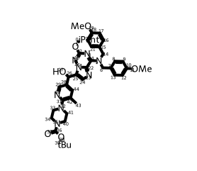 CCCC(C)Oc1nc(N(Cc2ccc(OC)cc2)Cc2ccc(OC)cc2)c2ncc(C(O)c3cnc(N4CCN(C(=O)OC(C)(C)C)CC4)c(C)c3)n2n1